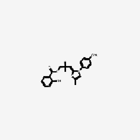 COc1ccc(N2C=C(C)SC2=CC(C)(C)CNC(=O)c2ccccc2O)cc1